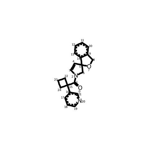 O=C(N1C=CC2(C1)OCc1ccccc12)C1(c2cccnc2)CCC1